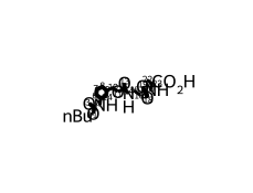 CCCCOC(=O)Nc1cccc(COC(=O)NCCS(=O)(=O)N[C@@H](C)C(=O)O)c1